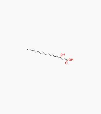 CCCCCCCCCCCCCCCC(O)CCC(=O)O